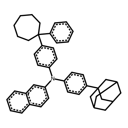 c1ccc(C2(c3ccc(N(c4ccc(C56CC7CC(CC(C7)C5)C6)cc4)c4ccc5ccccc5c4)cc3)CCCCCC2)cc1